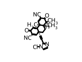 CC1(C)C(=O)C(C#N)=C[C@]2(C)C3=CC(=O)C(C#N)=C[C@]3(C#Cc3nccn3Cl)CC[C@@H]12